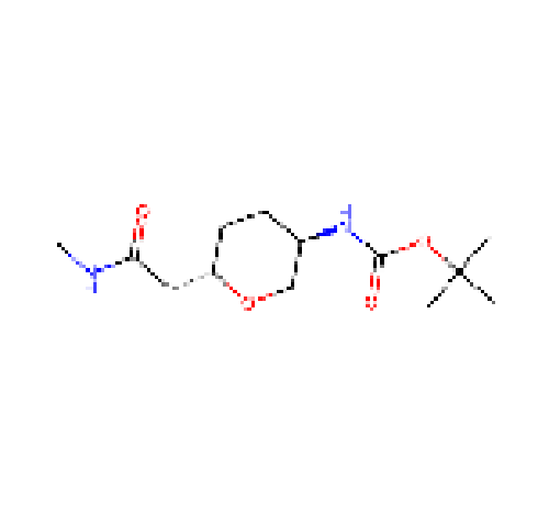 CNC(=O)C[C@@H]1CC[C@@H](NC(=O)OC(C)(C)C)CO1